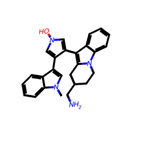 Cn1cc(-c2cn(O)cc2-c2c3n(c4ccccc24)CCC(CN)C3)c2ccccc21